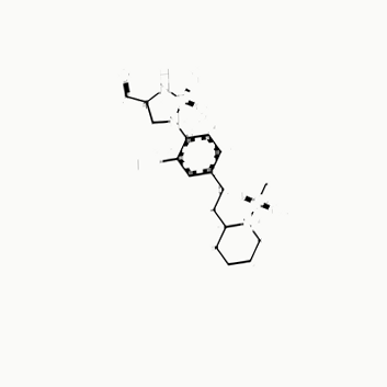 CS(=O)(=O)N1CCCCC1CCc1ccc(N2CC(C=O)NS2(=O)=O)c(O)c1